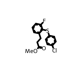 COC(=O)CCc1cccc(F)c1Sc1ccc(Cl)cc1